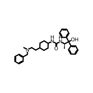 C[C@@H](NC(=O)NC1CCC(CCN(C)Cc2ccccc2)CC1)C(O)(c1ccccc1)c1ccccc1